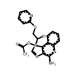 CCC(COc1ccccn1)[N+]1(OC(=O)C(F)(F)F)C=Nc2c(N)nc3ccccc3c21